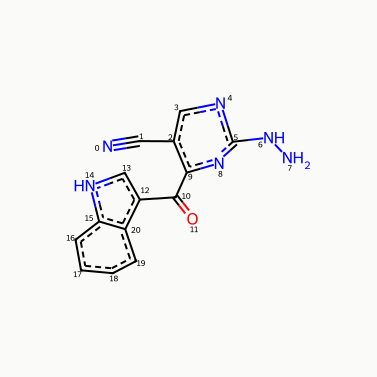 N#Cc1cnc(NN)nc1C(=O)c1c[nH]c2ccccc12